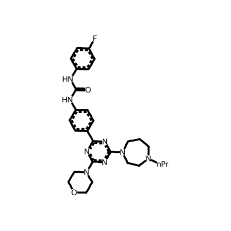 CCCN1CCCN(c2nc(-c3ccc(NC(=O)Nc4ccc(F)cc4)cc3)nc(N3CCOCC3)n2)CC1